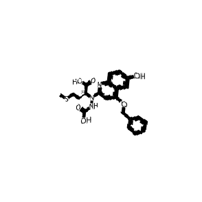 CSCC[C@@H](C(=O)O)N(NC(=O)O)c1cc(OCc2ccccc2)c2cc(O)ccc2n1